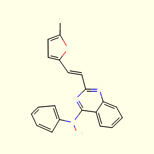 O=[N+]([O-])c1ccc(/C=C/c2nc(N(O)c3ccccc3)c3ccccc3n2)o1